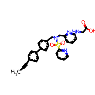 CC#Cc1ccc(-c2ccc(CN(Cc3cccc(NCC(=O)O)n3)S(=O)(=O)c3ccccn3)cc2)cc1